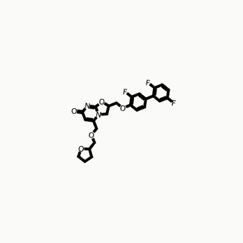 O=c1cc(COCC2CCCO2)n2c(n1)OC(COc1ccc(-c3cc(F)ccc3F)cc1F)C2